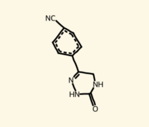 N#Cc1ccc(C2=NNC(=O)NC2)cc1